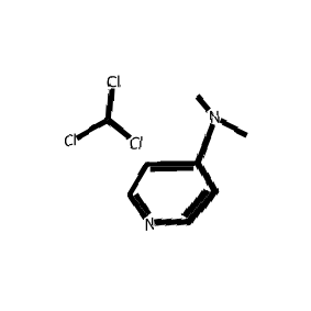 CN(C)c1ccncc1.ClC(Cl)Cl